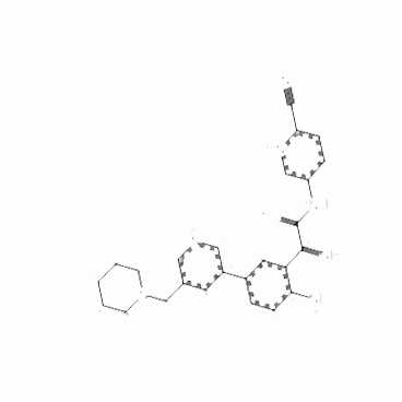 N#Cc1ccc(NC(=O)C(=N)c2cc(-c3cncc(CN4CCCCC4)c3)ccc2N)cn1